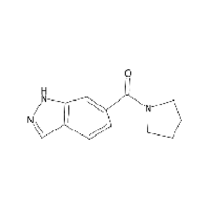 O=C(c1ccc2cn[nH]c2c1)N1CCCC1